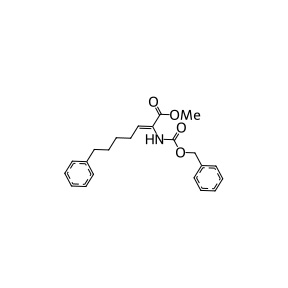 COC(=O)/C(=C/CCCCc1ccccc1)NC(=O)OCc1ccccc1